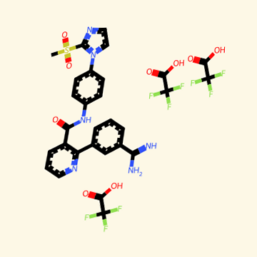 CS(=O)(=O)c1nccn1-c1ccc(NC(=O)c2cccnc2-c2cccc(C(=N)N)c2)cc1.O=C(O)C(F)(F)F.O=C(O)C(F)(F)F.O=C(O)C(F)(F)F